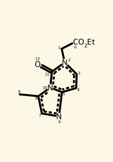 CCOC(=O)Cn1ccc2ncc(C)n2c1=O